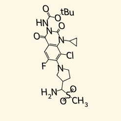 CC(C)(C)OC(=O)Nn1c(=O)c2cc(F)c(N3CCC(C(N)S(C)(=O)=O)C3)c(Cl)c2n(C2CC2)c1=O